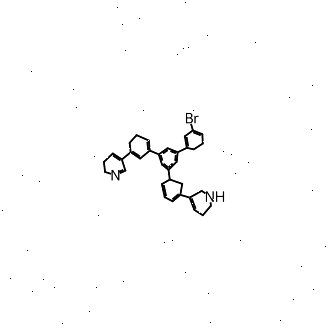 BrC1=CCCC(c2cc(C3=CCCC(C4=CCCN=C4)=C3)cc(C3C=CC=C(C4=CCCNC4)C3)c2)=C1